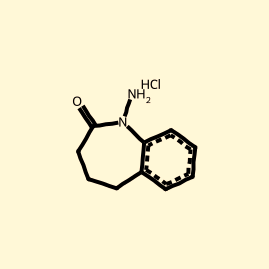 Cl.NN1C(=O)CCCc2ccccc21